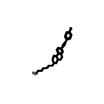 CCCCCCCC1CCC2c3ccc(C#Cc4ccc(Cl)cc4)cc3CCC2C1